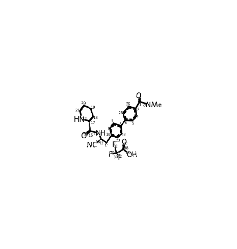 CNC(=O)c1ccc(-c2ccc(C[C@@H](C#N)NC(=O)[C@@H]3CCCCN3)cc2)cc1.O=C(O)C(F)(F)F